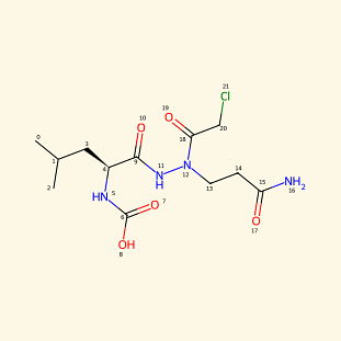 CC(C)C[C@H](NC(=O)O)C(=O)NN(CCC(N)=O)C(=O)CCl